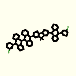 CC1(C)c2cc(-c3c4ccccc4c(-c4cccc(F)c4)c4ccccc34)ccc2-c2ccc(-c3c4ccccc4c(-c4c5ccccc5c(-c5cccc(F)c5)c5ccccc45)c4ccccc34)cc21